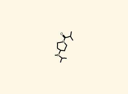 CC(C)C(=O)N1CCC(N(C)C(C)C)CC1